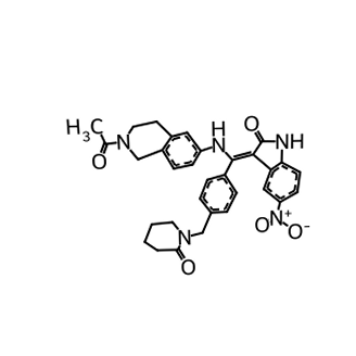 CC(=O)N1CCc2cc(N/C(=C3\C(=O)Nc4ccc([N+](=O)[O-])cc43)c3ccc(CN4CCCCC4=O)cc3)ccc2C1